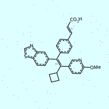 COc1ccc(/C(=C(\c2ccc(/C=C/C(=O)O)cc2)c2ccc3scnc3c2)C2CCC2)cn1